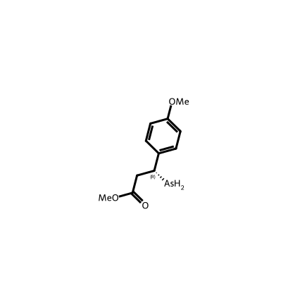 COC(=O)C[C@@H]([AsH2])c1ccc(OC)cc1